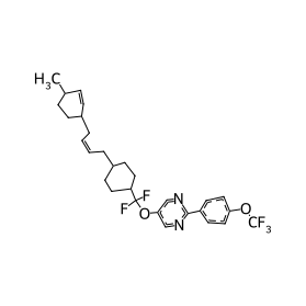 CC1C=CC(C/C=C\CC2CCC(C(F)(F)Oc3cnc(-c4ccc(OC(F)(F)F)cc4)nc3)CC2)CC1